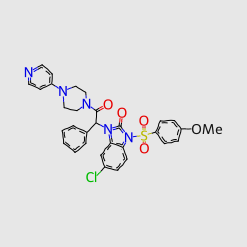 COc1ccc(S(=O)(=O)n2c(=O)n(C(C(=O)N3CCN(c4ccncc4)CC3)c3ccccc3)c3cc(Cl)ccc32)cc1